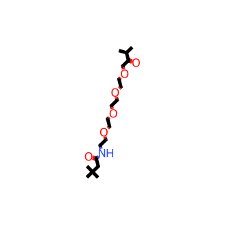 CC(C)C(=O)COCCOCCOCCOCCNC(=O)CC(C)(C)C